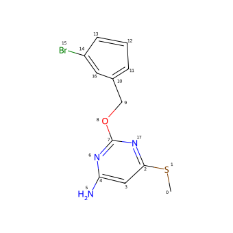 CSc1cc(N)nc(OCc2cccc(Br)c2)n1